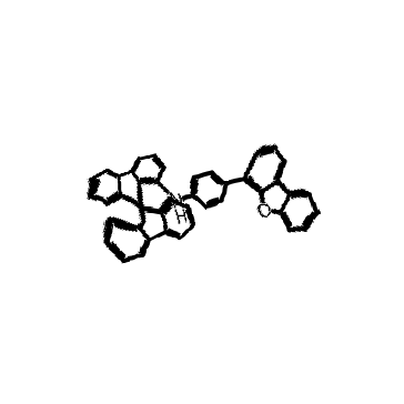 c1ccc2c(c1)-c1ccccc1C21c2ccccc2-c2cccc(Nc3ccc(-c4cccc5c4oc4ccccc45)cc3)c21